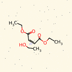 CCO.CCOC(=O)/C=C\C(=O)OCC